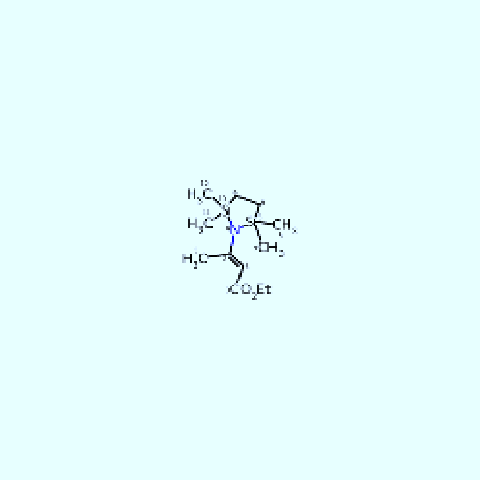 CCOC(=O)C=C(C)N1[Si](C)(C)CC[Si]1(C)C